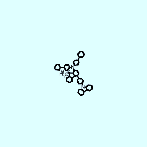 CC1(C)c2ccccc2-c2c(-c3ccc(-n4c5c(c6ccccc64)C=CCC5)cc3)ccc(N(c3ccc(-c4ccccc4)cc3)c3ccc(-c4ccccc4)cc3)c21